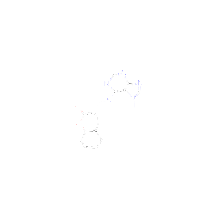 O=c1oc2ccccc2cc1CNc1ncnc2nc[nH]c12